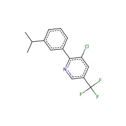 CC(C)c1cccc(-c2ncc(C(F)(F)F)cc2Cl)c1